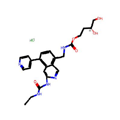 CCNC(=O)Nc1cc2c(-c3ccncc3)ccc(CNC(=O)OCC[C@@H](O)CO)c2cn1.Cl